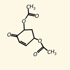 CC(=O)OC1C=CC(=O)C(OC(C)=O)C1